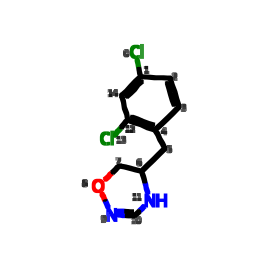 Clc1ccc(CC2CON=CN2)c(Cl)c1